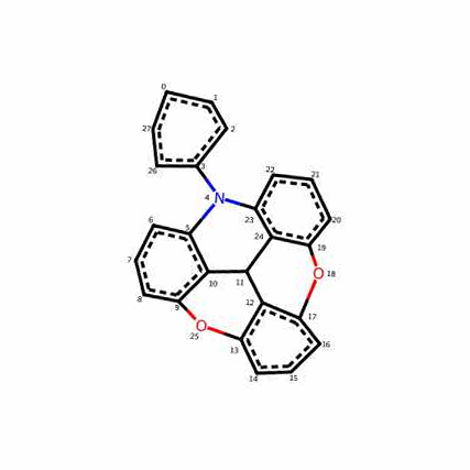 c1ccc(N2c3cccc4c3C3c5c(cccc5Oc5cccc2c53)O4)cc1